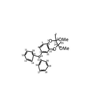 COC1(C)Oc2ccc(P(c3ccccc3)c3ccccc3)cc2OC1(C)OC